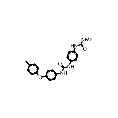 CNC(=O)Nc1ccc(NC(=O)Nc2ccc(Oc3ccc(C)cc3)cc2)cc1